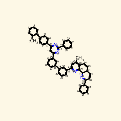 Cc1ccccc1-c1ccc(-c2cc(-c3cccc(-c4cccc(-c5cc(C)c6c(n5)C5N=C(c7ccccc7)C=CC5C=C6)c4)c3)nc(-c3ccccc3)n2)cc1